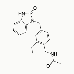 CCc1cc(Cn2c(=O)[nH]c3ccccc32)ccc1CNC(C)=O